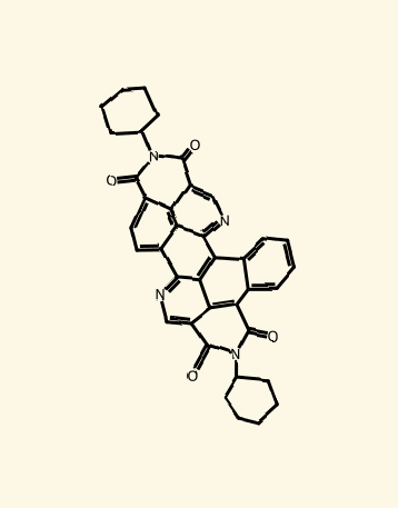 O=C1c2ccc3c4ncc5c6c(c7ccccc7c(c7ncc(c2c37)C(=O)N1C1CCCCC1)c64)C(=O)N(C1CCCCC1)C5=O